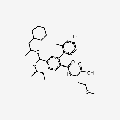 CCC(C)OC(OC(C)CC1CCCCC1)c1ccc(C(=O)N[C@@H](CCSC)C(=O)O)c(-c2ccccc2C)c1.[Li]